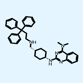 CN(C)c1nc(N[C@H]2CC[C@@H](CNCCC(c3ccccc3)(c3ccccc3)c3ccccc3)CC2)nc2ccccc12